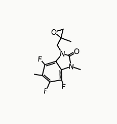 Cc1c(F)c(F)c2c(c1F)n(CC1(C)CO1)c(=O)n2C